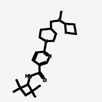 CN(CC1CCN(c2ccc(C(=O)NC3C(C)(C)CC3(C)C)cn2)CC1)C1CCC1